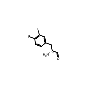 N[C@@H]([C]=O)Cc1ccc(F)c(F)c1